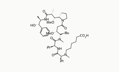 CC[C@H](C)[C@@H]([C@@H](CC(=O)N1CCC[C@H]1[C@H](OC)[C@@H](C)C(=O)N[C@H](C)[C@@H](O)c1ccccc1)OC)N(C)C(=O)[C@@H](NC(=O)[C@H](C(C)C)N(C)CCCCCC(=O)O)C(C)C